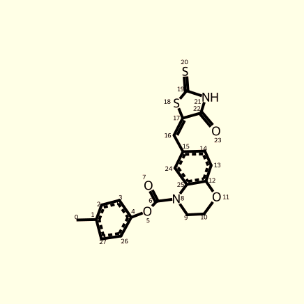 Cc1ccc(OC(=O)N2CCOc3ccc(/C=C4/SC(=S)NC4=O)cc32)cc1